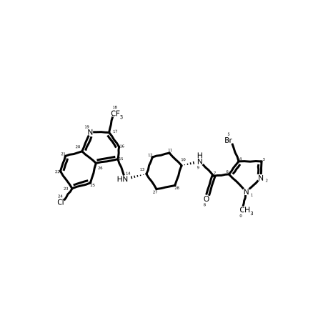 Cn1ncc(Br)c1C(=O)N[C@H]1CC[C@@H](Nc2cc(C(F)(F)F)nc3ccc(Cl)cc23)CC1